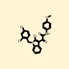 COc1ccc(NC(=O)C(=O)c2c(Cl)n(Cc3ccc(Cl)cc3Cl)c3ccccc23)cc1